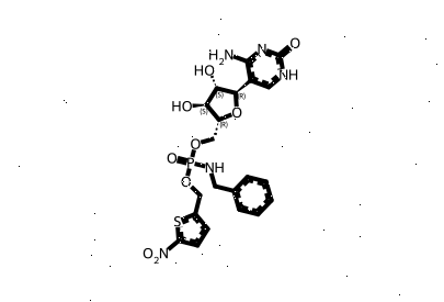 Nc1nc(=O)[nH]cc1[C@H]1O[C@H](COP(=O)(NCc2ccccc2)OCc2ccc([N+](=O)[O-])s2)[C@@H](O)[C@@H]1O